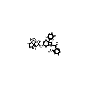 COc1ccccc1C(=O)NCC1(c2ccccc2)CCC(OC(=O)NC2(CO)CCCC2)CC1